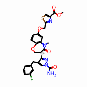 COC(=O)c1csc(COc2ccc3c(c2)N(C)C(=O)[C@@H](c2nn(C(N)=O)cc2Cc2cccc(F)c2)CO3)n1